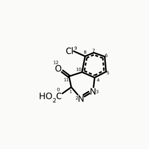 O=C(O)C1N=Nc2cccc(Cl)c2C1=O